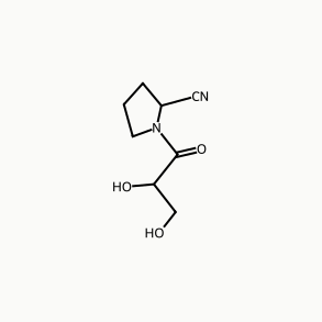 N#CC1CCCN1C(=O)C(O)CO